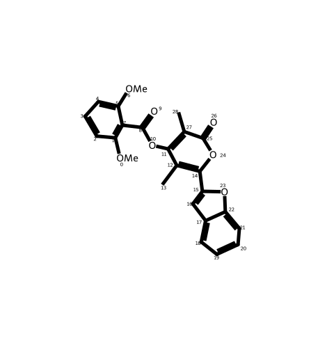 COc1cccc(OC)c1C(=O)Oc1c(C)c(-c2cc3ccccc3o2)oc(=O)c1C